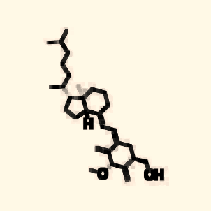 C=C1/C(=C\C=C2/CCC[C@]3(C)[C@@H](C(C)CCCC(C)C)CC[C@@H]23)C[C@@H](CO)C(=C)[C@@H]1OC